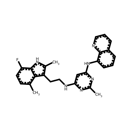 Cc1nc(NCCc2c(C)[nH]c3c(F)ccc(C)c23)cc(Nc2cccc3cccnc23)n1